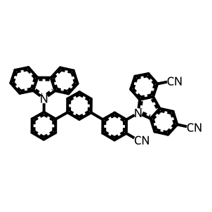 N#Cc1ccc2c(c1)c1c(C#N)cccc1n2-c1cc(-c2cccc(-c3ccccc3-n3c4ccccc4c4ccccc43)c2)ccc1C#N